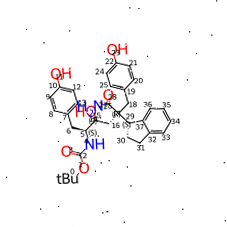 CC(C)(C)OC(=O)N[C@@H](Cc1ccc(O)cc1)[C@@H](O)C[C@@](Cc1ccc(O)cc1)(C(N)=O)[C@H]1CCc2ccccc21